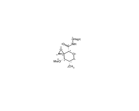 CCCCCCCNC(=O)[C@@H]1OC[C@H](C)[C@H](OC)[C@@]12CO2